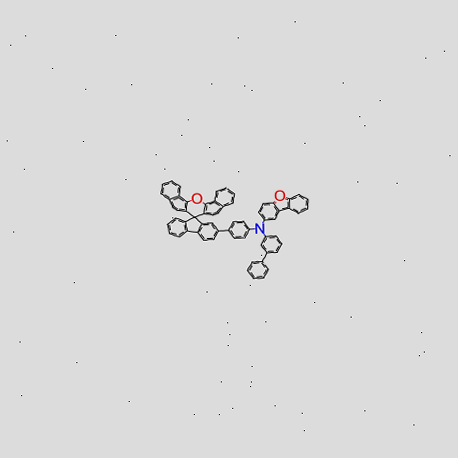 c1ccc(-c2cccc(N(c3ccc(-c4ccc5c(c4)C4(c6ccccc6-5)c5ccc6ccccc6c5Oc5c4ccc4ccccc54)cc3)c3ccc4oc5ccccc5c4c3)c2)cc1